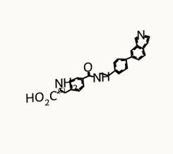 N[C@@H](Cc1ccc(C(=O)NCCc2ccc(-c3ccc4ccncc4c3)cc2)cc1)C(=O)O